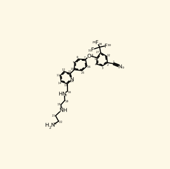 N#Cc1ccc(Oc2ccc(-c3cccc(CNCCNCCN)n3)cc2)c(C(F)(F)F)c1